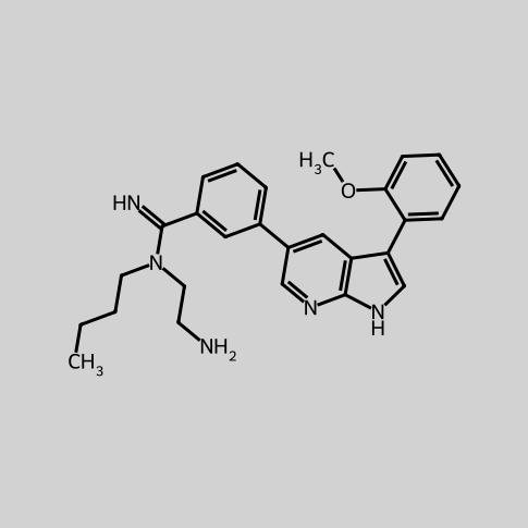 CCCCN(CCN)C(=N)c1cccc(-c2cnc3[nH]cc(-c4ccccc4OC)c3c2)c1